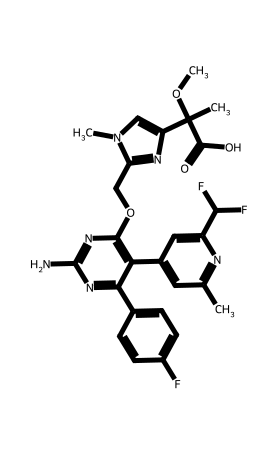 COC(C)(C(=O)O)c1cn(C)c(COc2nc(N)nc(-c3ccc(F)cc3)c2-c2cc(C)nc(C(F)F)c2)n1